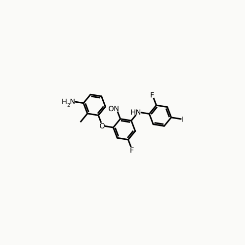 Cc1c(N)cccc1Oc1cc(F)cc(Nc2ccc(I)cc2F)c1N=O